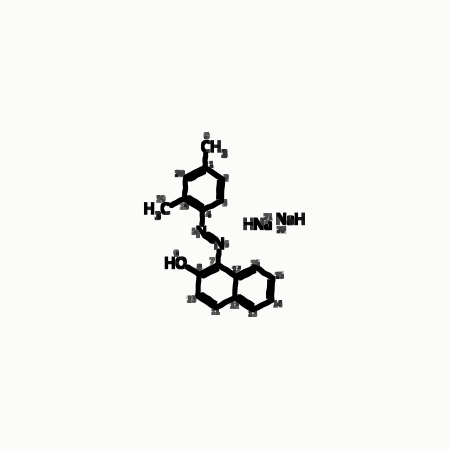 Cc1ccc(N=Nc2c(O)ccc3ccccc23)c(C)c1.[NaH].[NaH]